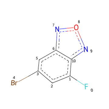 Fc1cc(Br)cc2nonc12